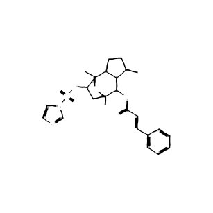 CC1CCC2C1C(OC(=O)/C=C/c1ccccc1)C1(C(C)C)CC(OS(=O)(=O)n3ccnc3)C2(C)O1